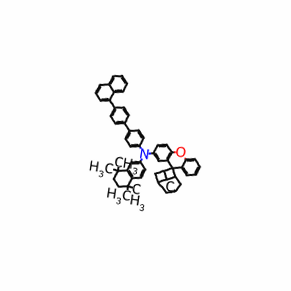 CC1(C)CCC(C)(C)c2cc(N(c3ccc(-c4ccc(-c5cccc6ccccc56)cc4)cc3)c3ccc4c(c3)C3(c5ccccc5O4)C4CC5CC6CC3C64C5)ccc21